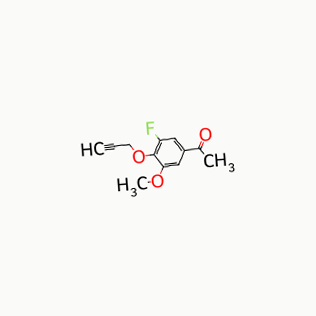 C#CCOc1c(F)cc(C(C)=O)cc1OC